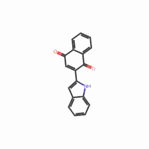 O=C1C=C(c2cc3ccccc3[nH]2)C(=O)c2ccccc21